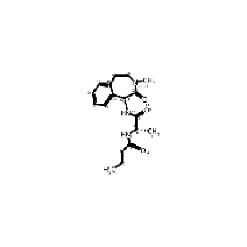 CCCC(=O)N[C@@H](C)C(=O)N[C@@H]1C(=O)N(C)CCc2ccccc21